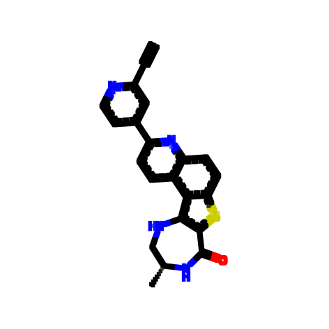 C#Cc1cc(-c2ccc3c(ccc4sc5c(c43)NC[C@@H](C)NC5=O)n2)ccn1